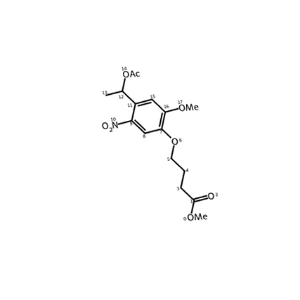 COC(=O)CCCOc1cc([N+](=O)[O-])c(C(C)OC(C)=O)cc1OC